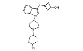 CC(C)C1CCC(N2CCC(n3cc(CN4CC(O)C4)c4ccccc43)CC2)CC1